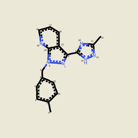 Cc1ccc(Cn2nc(-c3nc(C)n[nH]3)c3cccnc32)cc1